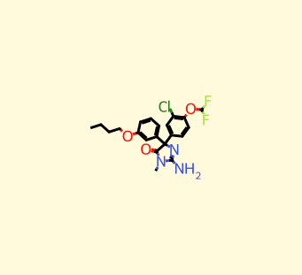 CCCCOc1cccc(C2(c3ccc(OC(F)F)c(Cl)c3)N=C(N)N(C)C2=O)c1